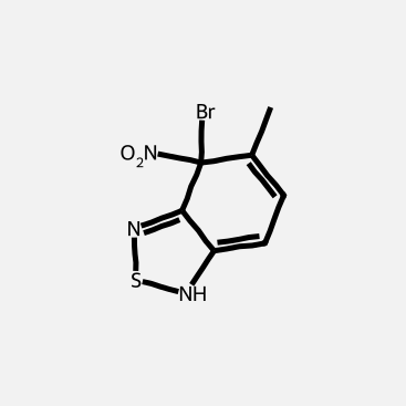 CC1=CC=C2NSN=C2C1(Br)[N+](=O)[O-]